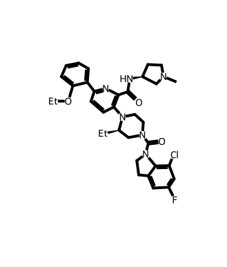 CCOc1ccccc1-c1ccc(N2CCN(C(=O)N3CCc4cc(F)cc(Cl)c43)C[C@H]2CC)c(C(=O)N[C@H]2CCN(C)C2)n1